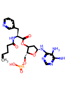 C=CCCC(=O)N[C@@H](Cc1cccnc1)C(=O)OC1C[C@H](Nc2ncnc(N)c2N)O[C@@H]1CO[PH](=O)O